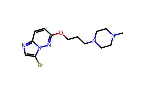 CN1CCN(CCCOc2ccc3ncc(Br)n3n2)CC1